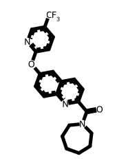 O=C(c1ccc2cc(Oc3ccc(C(F)(F)F)cn3)ccc2n1)N1CCCCCC1